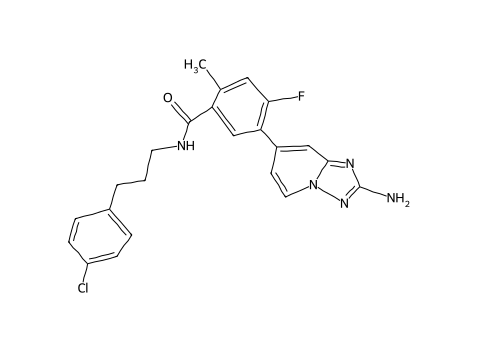 Cc1cc(F)c(-c2ccn3nc(N)nc3c2)cc1C(=O)NCCCc1ccc(Cl)cc1